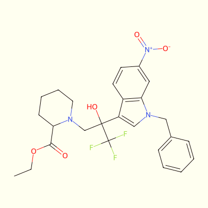 CCOC(=O)C1CCCCN1CC(O)(c1cn(Cc2ccccc2)c2cc([N+](=O)[O-])ccc12)C(F)(F)F